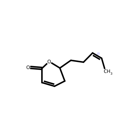 C/C=C\CCC1CC=CC(=O)O1